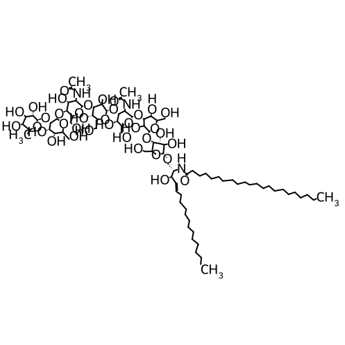 CCCCCCCCCCCCC/C=C/[C@@H](O)[C@H](CO[C@@H]1OC(CO)[C@@H](O[C@@H]2OC(CO)[C@H](O)[C@H](O[C@@H]3OC(CO)[C@@H](O)[C@H](O[C@@H]4OC(CO)[C@H](O)[C@H](O[C@@H]5OC(CO)[C@@H](O[C@@H]6OC(CO)[C@H](O)[C@H](O)C6O[C@H]6OC(C)[C@@H](O)C(O)[C@@H]6O)[C@H](O)C5NC(C)=O)C4O)C3NC(C)=O)C2O)[C@H](O)C1O)NC(=O)CCCCCCCCCCCCCCCCCCCCC